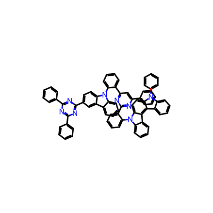 c1ccc(-c2cc(-c3ccccc3-n3c4ccccc4c4cc(-c5nc(-c6ccccc6)nc(-c6ccccc6)n5)ccc43)nc(-c3ccccc3-n3c4ccccc4c4c5c6ccccc6n(-c6ccccc6)c5ccc43)n2)cc1